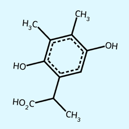 Cc1c(O)cc(C(C)C(=O)O)c(O)c1C